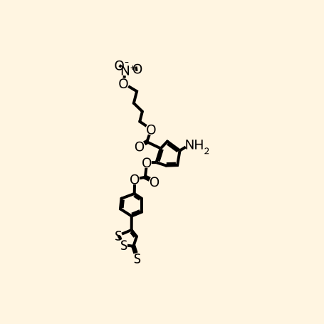 Nc1ccc(OC(=O)Oc2ccc(-c3cc(=S)ss3)cc2)c(C(=O)OCCCCO[N+](=O)[O-])c1